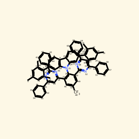 Cc1cc(C)c(-c2ccc3c4ccc(-c5c(C)cc(C)cc5C)cc4n(-c4c(-c5cc(-c6ccccc6)nc(-c6ccccc6)n5)cc(C(F)(F)F)cc4-c4nc(-c5ccccc5)cc(-c5ccccc5)n4)c3c2)c(C)c1